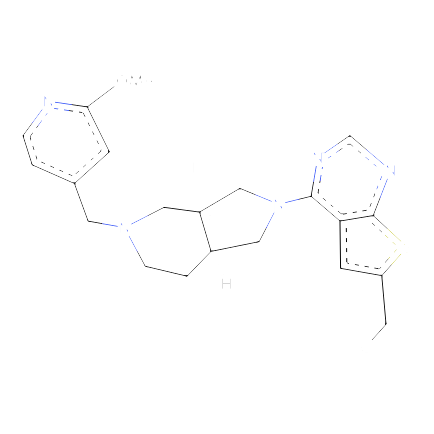 COc1cc(CN2CC[C@@H]3CN(c4ncnc5sc(CC(F)(F)F)cc45)C[C@@H]3C2)ccn1